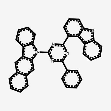 c1ccc(-c2nc(-c3cccc4sc5ccccc5c34)nc(-n3c4ccccc4c4cc5ccccc5cc43)n2)cc1